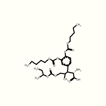 CCCCCOC(=O)Oc1ccc(C(C(C)COC(=O)OC(C)CC)[C@H](N)C(=O)O)cc1OC(=O)OCCCCC